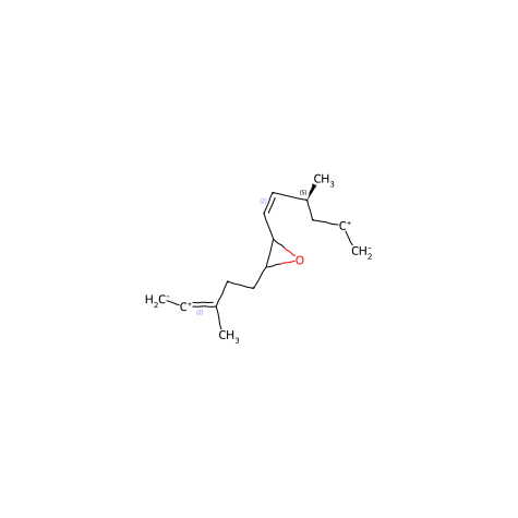 [CH2-]/[C+]=C(/C)CCC1OC1/C=C\[C@@H](C)C[CH+][CH2-]